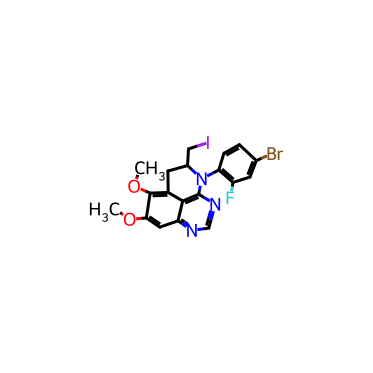 COc1cc2ncnc3c2c(c1OC)CC(CI)N3c1ccc(Br)cc1F